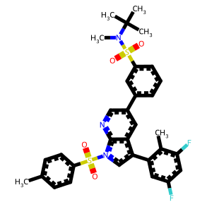 Cc1ccc(S(=O)(=O)n2cc(-c3cc(F)cc(F)c3C)c3cc(-c4cccc(S(=O)(=O)N(C)C(C)(C)C)c4)cnc32)cc1